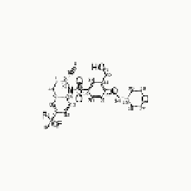 C#C[C@H]1CCc2cc(C(C)(F)F)ccc2N1S(=O)(=O)c1ccc(OCC2CCOCC2)c(CO)c1